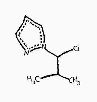 CC(C)C(Cl)n1cccn1